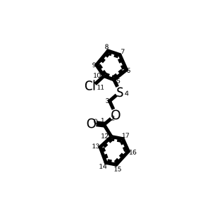 O=C(OCSc1ccccc1Cl)c1ccccc1